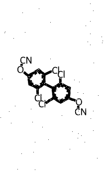 N#COc1cc(Cl)c(-c2c(Cl)cc(OC#N)cc2Cl)c(Cl)c1